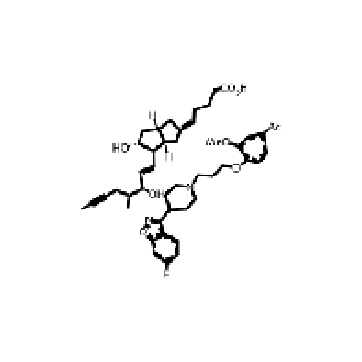 CC#CCC(C)[C@H](O)/C=C/C1[C@H](O)C[C@@H]2C/C(=C\CCCC(=O)O)C[C@H]12.COc1cc(C(C)=O)ccc1OCCCN1CCC(c2noc3cc(F)ccc23)CC1